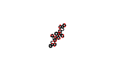 c1ccc(N(c2ccc(-c3cccc4c3sc3ccccc34)cc2)c2c3ccccc3c(N(c3ccccc3)c3ccc(-c4cccc5c4sc4ccccc45)cc3)c3ccccc23)cc1